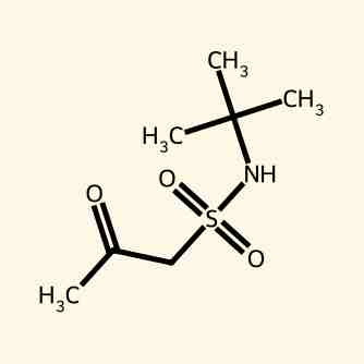 CC(=O)CS(=O)(=O)NC(C)(C)C